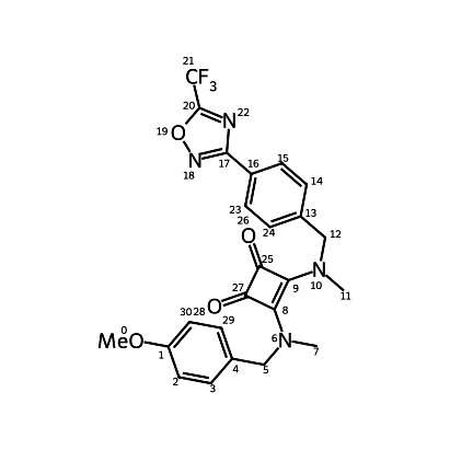 COc1ccc(CN(C)c2c(N(C)Cc3ccc(-c4noc(C(F)(F)F)n4)cc3)c(=O)c2=O)cc1